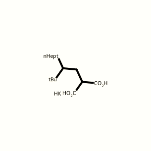 CCCCCCCC(CC(C(=O)O)C(=O)O)C(C)(C)C.[KH]